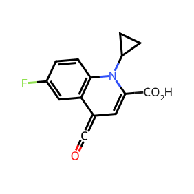 O=C=C1C=C(C(=O)O)N(C2CC2)c2ccc(F)cc21